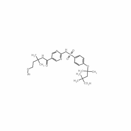 CC(C)OCCC(C)(C)NC(=O)c1cnc(NS(=O)(=O)c2ccc(OC(C)(C)CC(C)(C)C(=O)O)cc2)nc1